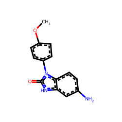 COc1ccc(-n2c(=O)[nH]c3cc(N)ccc32)cc1